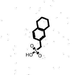 O=S(=O)(O)Cc1ccc2c(c1)CCCC2